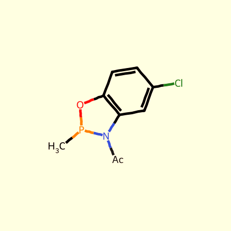 CC(=O)N1c2cc(Cl)ccc2OP1C